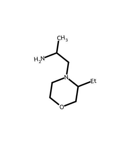 CCC1COCCN1CC(C)N